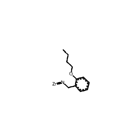 CCCCOc1ccccc1C[N]=[Zr]